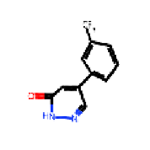 O=c1cc(-c2cccc(C(F)(F)F)c2)cn[nH]1